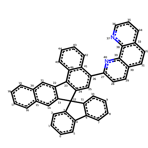 c1ccc2c(c1)-c1ccccc1C21c2cc3ccccc3cc2-c2c1cc(-c1ccc3ccc4cccnc4c3n1)c1ccccc21